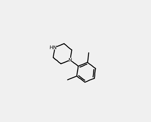 Cc1cccc(C)c1N1CCNCC1